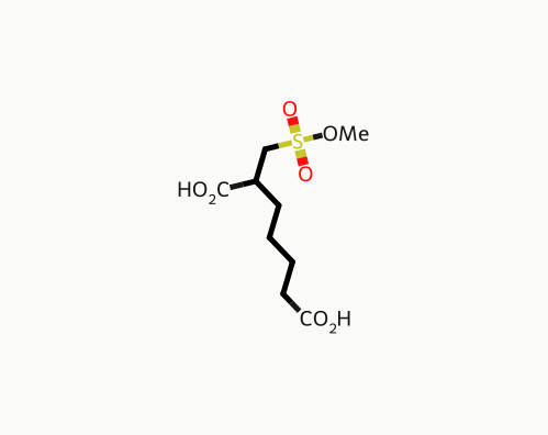 COS(=O)(=O)CC(CCCCC(=O)O)C(=O)O